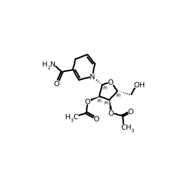 CC(=O)O[C@@H]1[C@H](OC(C)=O)[C@@H](CO)O[C@H]1N1C=CCC(C(N)=O)=C1